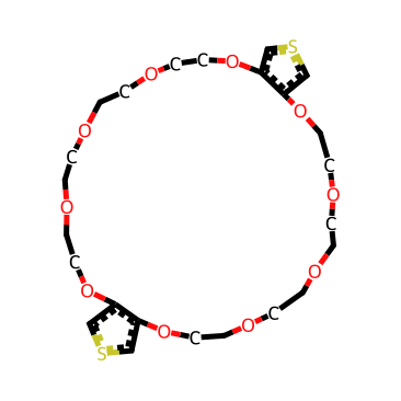 c1scc2c1OCCOCCOCCOCCOc1cscc1OCCOCCOCCOCCO2